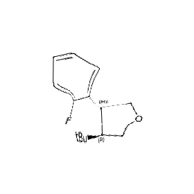 CC(C)(C)[C@@H]1COC[C@H]1c1ccccc1F